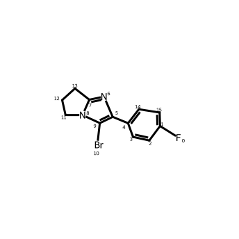 Fc1ccc(-c2nc3n(c2Br)CCC3)cc1